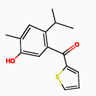 Cc1cc(C(C)C)c(C(=O)c2cccs2)cc1O